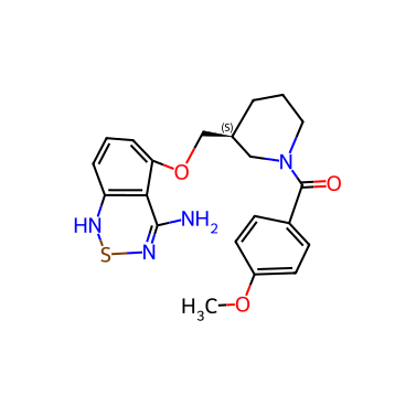 COc1ccc(C(=O)N2CCC[C@H](COc3cccc4c3C(N)=NSN4)C2)cc1